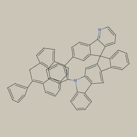 C1=CC2=C(c3ccccc3)Cc3cccc4c3C2C(=C1)C=C4c1ccc2c(c1)C1(c3ccccc3-c3cc4c5ccccc5n(-c5ccccc5)c4cc31)c1cccnc1-2